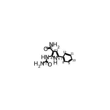 NC(=O)Nc1[nH]c(-c2ccccc2)cc1C(N)=O